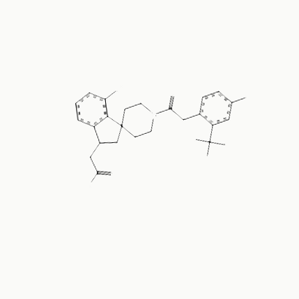 O=C(O)CC1CC2(CCN(C(=O)Cc3ccc(Cl)cc3C(F)(F)F)CC2)c2c(Cl)cccc21